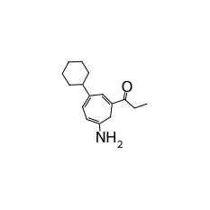 CCC(=O)C1=CC(C2CCCCC2)=CC=C(N)C1